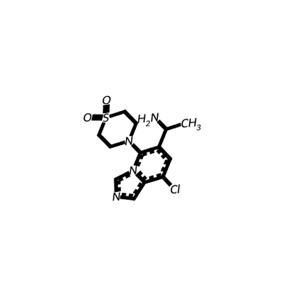 CC(N)c1cc(Cl)c2cncn2c1N1CCS(=O)(=O)CC1